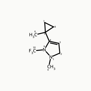 CN1[CH]C=C(C2(C)CC2)N1C(F)(F)F